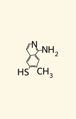 Cc1cc2c(N)nccc2cc1S